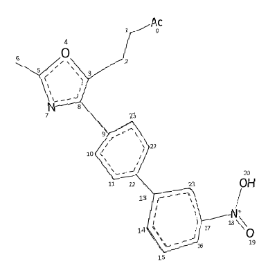 CC(=O)CCc1oc(C)nc1-c1ccc(-c2cccc([N+](=O)O)c2)cc1